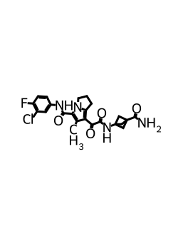 Cc1c(C(=O)C(=O)NC23CC(C(N)=O)(C2)C3)c2n(c1C(=O)Nc1ccc(F)c(Cl)c1)CCC2